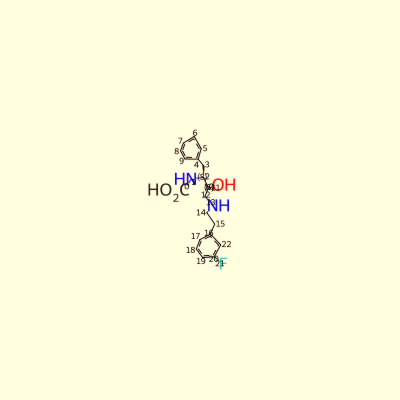 O=C(O)N[C@@H](Cc1ccccc1)[C@@H](O)CNCCc1cccc(F)c1